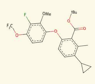 COc1c(Oc2ccc(C3CC3)c(C)c2C(=O)OC(C)(C)C)ccc(OC(F)(F)F)c1F